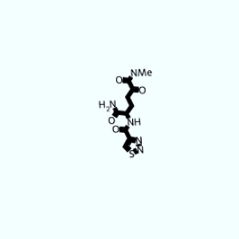 CNC(=O)C(=O)CCC(NC(=O)c1csnn1)C(N)=O